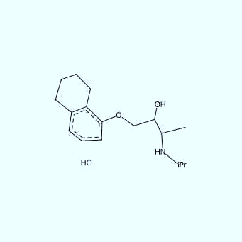 CC(C)NC(C)C(O)COc1cccc2c1CCCC2.Cl